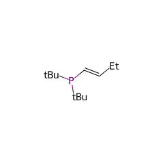 CCC=CP(C(C)(C)C)C(C)(C)C